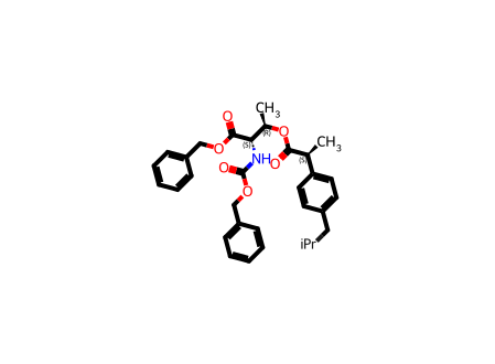 CC(C)Cc1ccc([C@H](C)C(=O)O[C@H](C)[C@H](NC(=O)OCc2ccccc2)C(=O)OCc2ccccc2)cc1